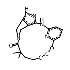 CC1(C)CCCCOc2cccc(n2)Nc2n[nH]c3c2CN(C3)C1=O